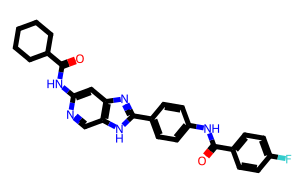 O=C(Nc1ccc(-c2nc3cc(NC(=O)C4CCCCC4)ncc3[nH]2)cc1)c1ccc(F)cc1